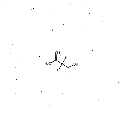 C=C(C)C(F)(F)CO